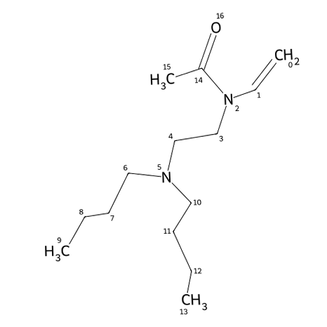 C=CN(CCN(CCCC)CCCC)C(C)=O